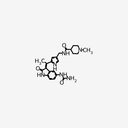 C/C(=C1\C(=O)Nc2ccc(NC(N)=O)cc21)c1cc(CNC(=O)C2CCN(C)CC2)c[nH]1